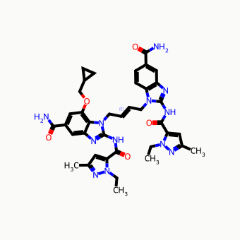 CCn1nc(C)cc1C(=O)Nc1nc2cc(C(N)=O)ccc2n1C/C=C/Cn1c(NC(=O)c2cc(C)nn2CC)nc2cc(C(N)=O)cc(OCC3CC3)c21